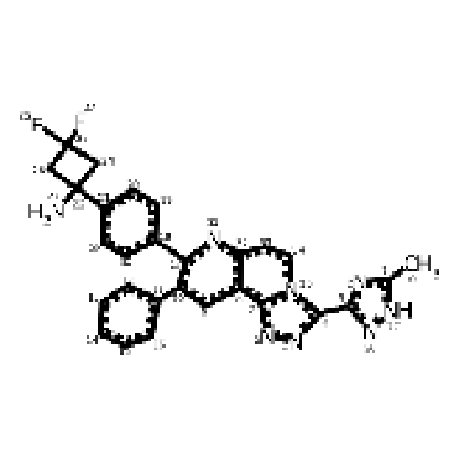 Cc1nc(-c2nnc3c4cc(-c5ccccc5)c(-c5ccc(C6(N)CC(F)(F)C6)cc5)nc4ccn23)n[nH]1